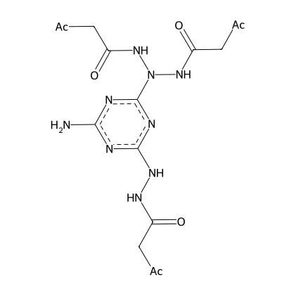 CC(=O)CC(=O)NNc1nc(N)nc(N(NC(=O)CC(C)=O)NC(=O)CC(C)=O)n1